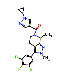 C[C@H]1c2nn(C)c(-c3cc(F)c(F)c(F)c3)c2CCN1C(=O)c1cnn(C2CC2)c1